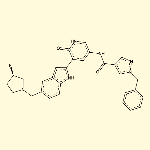 O=C(Nc1c[nH]c(=O)c(-c2cc3cc(CN4CC[C@@H](F)C4)ccc3[nH]2)c1)c1cnn(Cc2ccccc2)c1